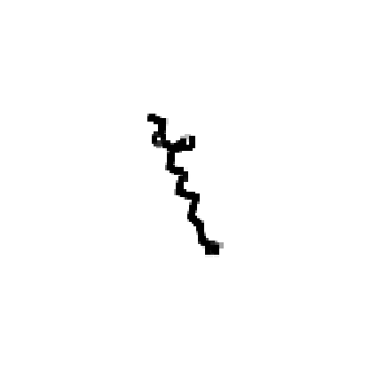 CCOC(=O)CSCCCCCBr